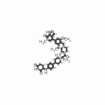 COc1cc(-c2cn(C)c(=O)c3[nH]ncc23)cc(OC)c1CN1CCN(C(=O)C(C)(C)N2CCC(c3ccc(NC4CCC(=O)NC4=O)cc3)CC2)CC1